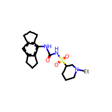 CCN1CCCC(S(=O)(=O)NC(=O)Nc2c3c(cc4c2CCC4)CCC3)C1